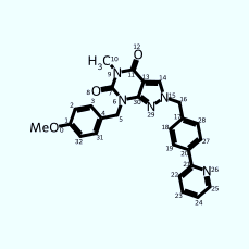 COc1ccc(Cn2c(=O)n(C)c(=O)c3cn(Cc4ccc(-c5ccccn5)cc4)nc32)cc1